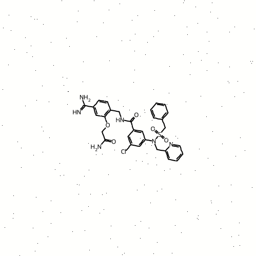 N=C(N)c1ccc(CNC(=O)c2cc(Cl)cc(N(Cc3ccccn3)S(=O)(=O)Cc3ccccc3)c2)c(OCC(N)=O)c1